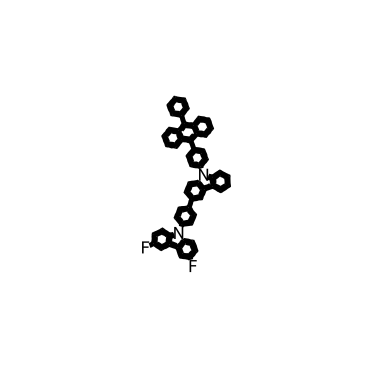 Fc1ccc2c(c1)c1cc(F)ccc1n2-c1ccc(-c2ccc3c(c2)c2ccccc2n3-c2ccc(-c3c4ccccc4c(-c4ccccc4)c4ccccc34)cc2)cc1